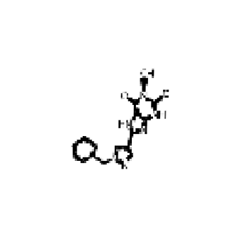 C#Cn1c(=O)[nH]c2nc(-c3cnn(Cc4ccccc4)c3)[nH]c2c1=O